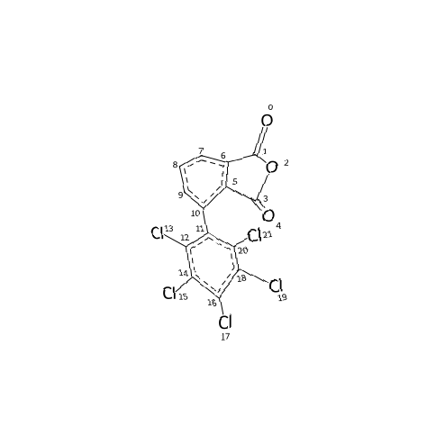 O=C1OC(=O)c2c1cccc2-c1c(Cl)c(Cl)c(Cl)c(Cl)c1Cl